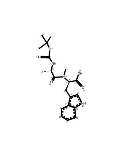 C[C@H](NC(=O)OC(C)(C)C)C(=O)N(C)[C@H](Cc1c[nH]c2ccccc12)C(=O)O